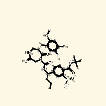 CCC[C@@H](NC(=O)N1CC(=O)NC[C@H](Cc2cc(F)c(F)cc2OC)C1=O)c1ccc(C(=O)OC(C)(C)C)c([N+](=O)[O-])c1